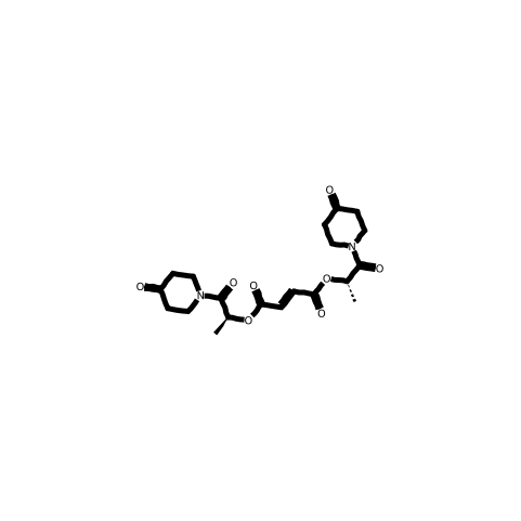 C[C@H](OC(=O)/C=C/C(=O)O[C@@H](C)C(=O)N1CCC(=O)CC1)C(=O)N1CCC(=O)CC1